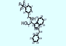 OCC(NCc1cccc(C(F)(F)F)c1)c1cn(Cc2ccccc2)c2ccccc12